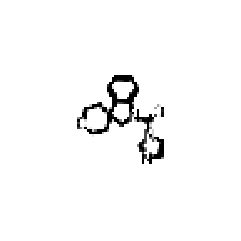 O=C(N1CC2(CCOCC2)c2ccccc21)n1ccnc1